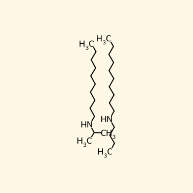 CCCCCCCCCCNC(C)C.CCCCCCCCCCNCCCC